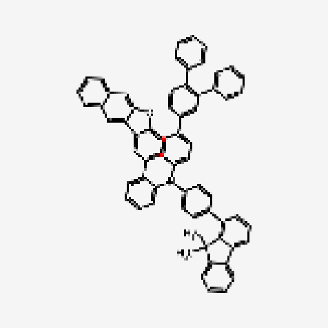 CC1(C)c2ccccc2-c2cccc(-c3ccc(N(c4ccc(-c5ccc(-c6ccccc6)c(-c6ccccc6)c5)cc4)c4ccccc4-c4ccc5oc6cc7ccccc7cc6c5c4)cc3)c21